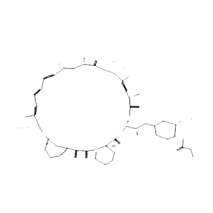 CO[C@H]1C[C@@H]2CC[C@@H](C)[C@@](O)(C2)C(=O)C(=O)N2CCCC[C@H]2C(=O)O[C@H]([C@H](C)CC2CC[C@@H](OC(=O)CN)[C@H](OC)C2)CC(=O)[C@H](C)/C=C(\C)[C@@H](O)[C@@H](OC)C(=O)[C@H](C)C[C@H](C)/C=C/C=C/C=C/1C